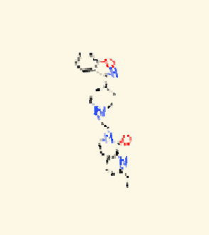 CCc1ccc2c(n1)C(=O)N(CCN1CCC(c3noc4ccccc34)CC1)CC2